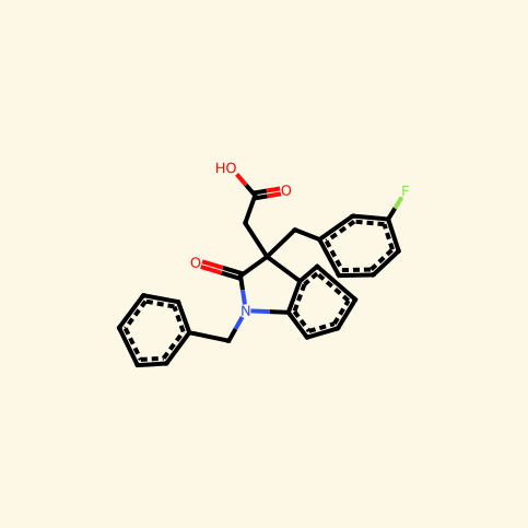 O=C(O)CC1(Cc2cccc(F)c2)C(=O)N(Cc2ccccc2)c2ccccc21